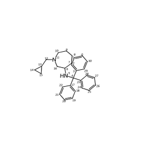 c1ccc(C(NC2CCCCN(CC3CC3)C2)(c2ccccc2)c2ccccc2)cc1